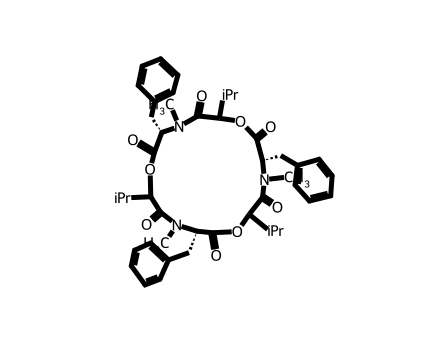 CC(C)C1OC(=O)[C@H](Cc2ccccc2)N(C)C(=O)C(C(C)C)OC(=O)[C@H](Cc2ccccc2)N(C)C(=O)C(C(C)C)OC(=O)[C@H](Cc2ccccc2)N(C)C1=O